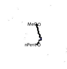 CCCCC[C@H]1O[C@H]1C/C=C\CCCCCCCC(=O)OC